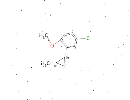 COc1ccc(Cl)cc1[C@@H]1C[C@@H]1C